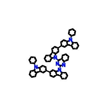 c1ccc(-n2c3ccccc3c3cc(-c4ccc5c6ccccc6n(-c6nc(-n7c8ccccc8c8ccc(-c9ccc%10c(c9)c9ccccc9n%10-c9ccccc9)cc87)c7ccccc7n6)c5c4)ccc32)cc1